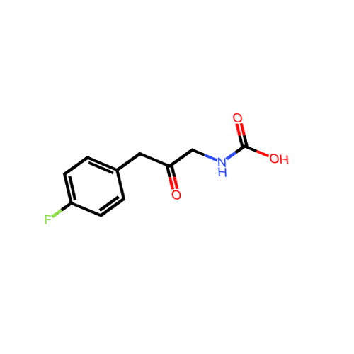 O=C(CNC(=O)O)Cc1ccc(F)cc1